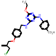 C=C(CCl)COc1ccc(CNc2nc(Nc3ccc(C(=O)O)cc3)nc(OCC(F)(F)F)n2)cc1